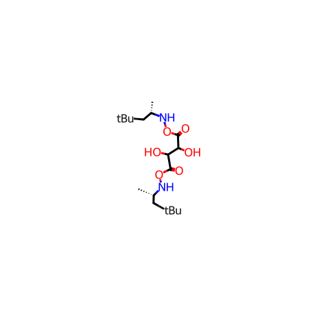 C[C@@H](CC(C)(C)C)NOC(=O)C(O)C(O)C(=O)ON[C@@H](C)CC(C)(C)C